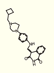 O=C1NC(=O)c2ccccc2/C1=C\Nc1ccc(N2CCN(CC3CCC3)CC2)cc1